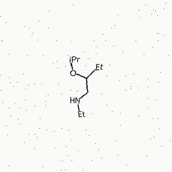 CCNCC(CC)OC(C)C